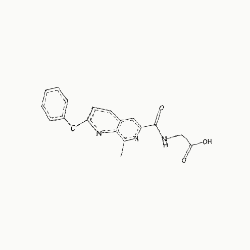 Cc1nc(C(=O)NCC(=O)O)cc2ccc(Oc3ccccc3)nc12